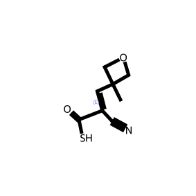 CC1(/C=C(\C#N)C(=O)S)COC1